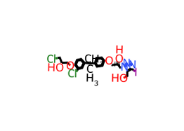 CC(C)(c1ccc(OC[C@H](O)Cn2nnc(I)c2CO)cc1)c1ccc(OCC(O)CCl)c(Cl)c1